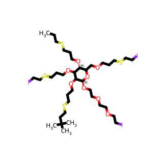 CCCSCCCO[C@@H]1C(COCCCSCCI)O[C@@H](OCCOCCOCCI)C(OCCCSCCC(C)(C)C)C1OCCCSCCI